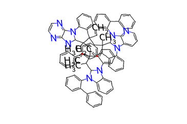 C=CC1c2ccccc2N2c3cccnc3N(c3ccccc3-c3ccccc3)C2C1(C)CC1(C=C)c2ccccc2N2c3nccnc3N(c3ccccc3-c3ccccc3)C2C1(C)CC1(C=C)c2ccccc2N2c3ccccc3N(c3ccccc3-c3ccccc3)C2C1C